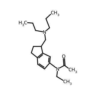 CCCN(CCC)CC1CCc2ccc(N(CC)C(C)=O)cc21